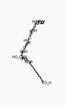 Cc1ccc(C[C@H](CC(=O)[C@@H](C)CCCCNC(=O)COCCOCCNC(=O)COCCOCCNC(=O)CCC(NC(=O)C2CCC(CNC(=O)CCCCCCCCCCCCCCCCCCC(=O)O)CC2)C(=O)O)C(N)=O)cc1